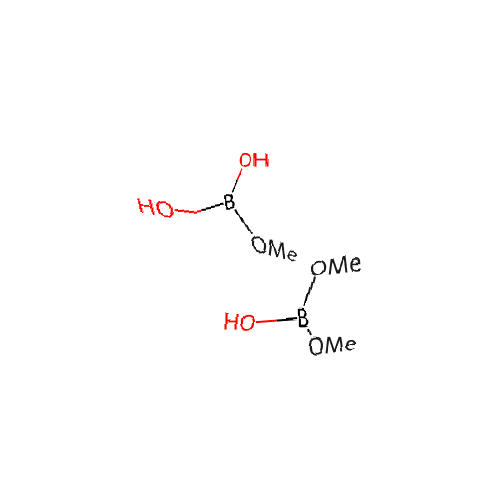 COB(O)O.COB(O)OC